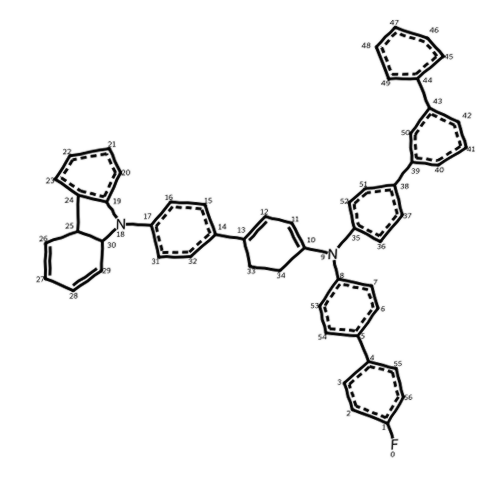 Fc1ccc(-c2ccc(N(C3=CC=C(c4ccc(N5c6ccccc6C6C=CC=CC65)cc4)CC3)c3ccc(-c4cccc(-c5ccccc5)c4)cc3)cc2)cc1